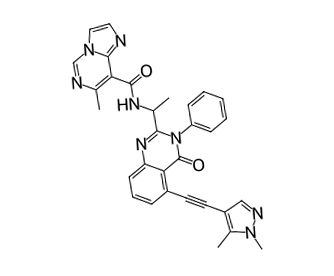 Cc1ncn2ccnc2c1C(=O)NC(C)c1nc2cccc(C#Cc3cnn(C)c3C)c2c(=O)n1-c1ccccc1